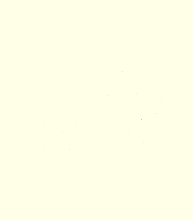 CCCCCCCC(=O)[O-].CCCCCCCC(=O)[O-].CCC[CH2][Sn+2][CH2]CCC.CO[SiH](OC)OC